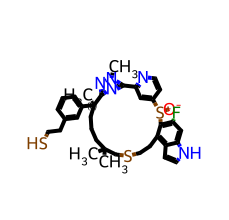 Cn1nc2nc1-c1cc(ccn1)[S+]([O-])c1c(F)cc3[nH]ccc3c1CCSCC(C)(C)CCC[C@]2(C)c1cccc(CCS)c1